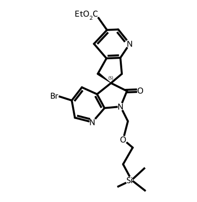 CCOC(=O)c1cnc2c(c1)C[C@@]1(C2)C(=O)N(COCC[Si](C)(C)C)c2ncc(Br)cc21